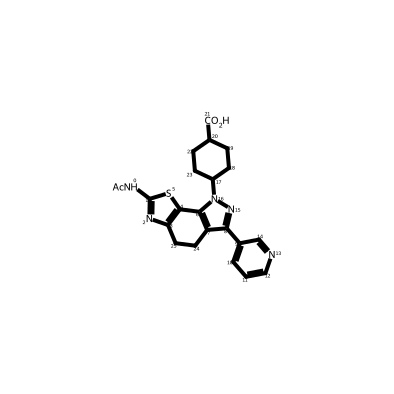 CC(=O)Nc1nc2c(s1)-c1c(c(-c3cccnc3)nn1C1CCC(C(=O)O)CC1)CC2